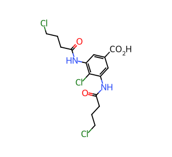 O=C(CCCCl)Nc1cc(C(=O)O)cc(NC(=O)CCCCl)c1Cl